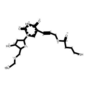 CC(C)(C)COCC1OC(n2cc(C#CCOC(=O)CCCS)c(=O)[nH]c2=O)CC1O